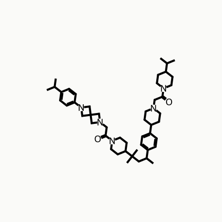 CC(C)c1ccc(N2CC3(CN(CC(=O)N4CCC(C(C)(C)CC(C)c5ccc(C6CCN(CC(=O)N7CCC(C(C)C)CC7)CC6)cc5)CC4)C3)C2)cc1